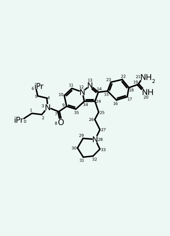 CC(C)CCN(CCC(C)C)C(=O)c1ccn2nc(-c3ccc(C(=N)N)cc3)c(CCCN3CCCCC3)c2c1